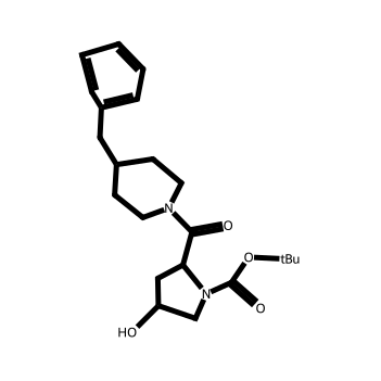 CC(C)(C)OC(=O)N1CC(O)CC1C(=O)N1CCC(Cc2ccccc2)CC1